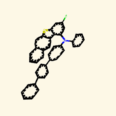 Clc1cc(N(c2ccccc2)c2ccc(-c3ccc(-c4ccccc4)cc3)cc2)c2c(c1)sc1cc3ccccc3cc12